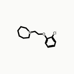 Clc1ccccc1OCCN1CCCCCC1